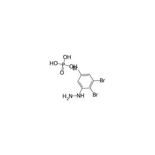 NNc1cc(Br)cc(Br)c1Br.O=P(O)(O)O